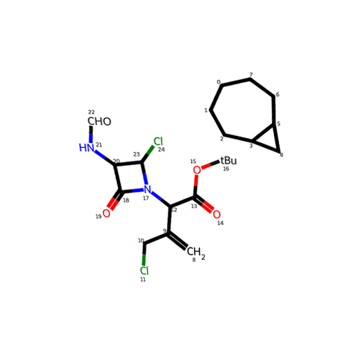 C1CCC2CC2CC1.C=C(CCl)C(C(=O)OC(C)(C)C)N1C(=O)C(NC=O)C1Cl